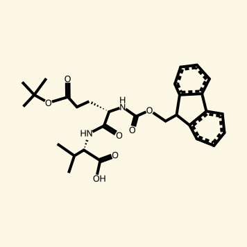 CC(C)[C@H](NC(=O)[C@H](CCC(=O)OC(C)(C)C)NC(=O)OCC1c2ccccc2-c2ccccc21)C(=O)O